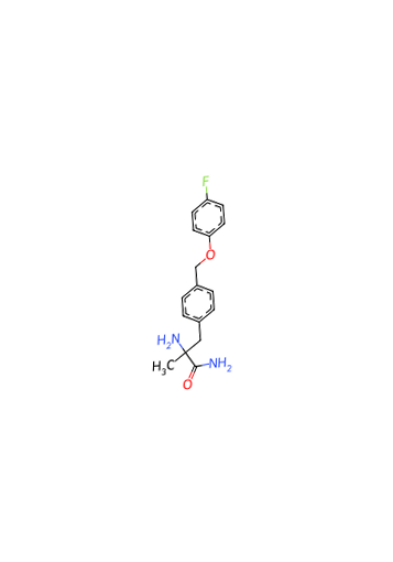 CC(N)(Cc1ccc(COc2ccc(F)cc2)cc1)C(N)=O